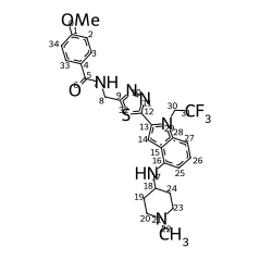 COc1ccc(C(=O)NCc2nnc(-c3cc4c(NC5CCN(C)CC5)cccc4n3CC(F)(F)F)s2)cc1